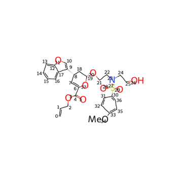 C=CCOC(=O)C1=C[C@H](c2coc3ccccc23)C[C@H](OCCN(CCO)S(=O)(=O)c2ccc(OC)cc2)O1